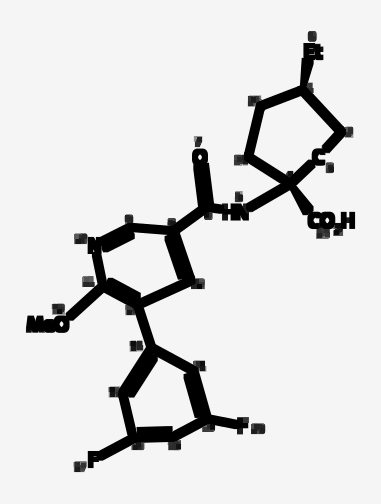 CC[C@H]1CC[C@@](NC(=O)c2cnc(OC)c(-c3cc(F)cc(F)c3)c2)(C(=O)O)CC1